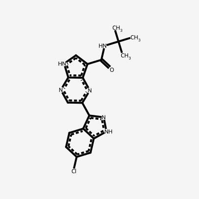 CC(C)(C)NC(=O)c1c[nH]c2ncc(-c3n[nH]c4cc(Cl)ccc34)nc12